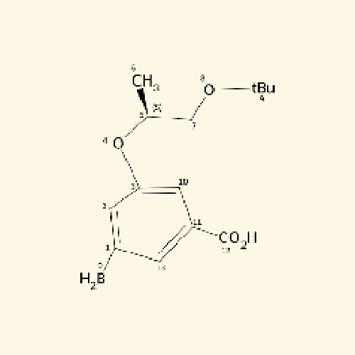 Bc1cc(O[C@@H](C)COC(C)(C)C)cc(C(=O)O)c1